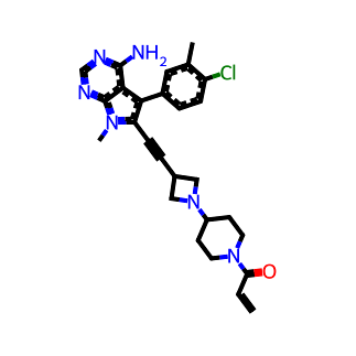 C=CC(=O)N1CCC(N2CC(C#Cc3c(-c4ccc(Cl)c(C)c4)c4c(N)ncnc4n3C)C2)CC1